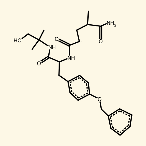 CC(C[CH]C(=O)NC(Cc1ccc(OCc2ccccc2)cc1)C(=O)NC(C)(C)CO)C(N)=O